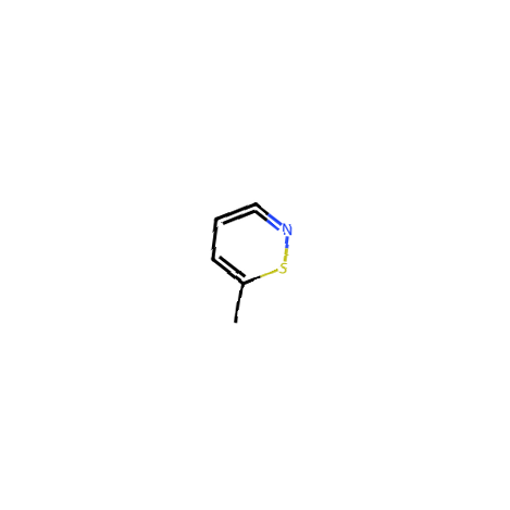 CC1=CC=C=NS1